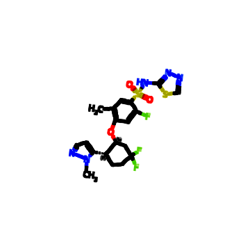 Cc1cc(S(=O)(=O)Nc2nncs2)c(F)cc1O[C@H]1CC(F)(F)CC[C@@H]1c1ccnn1C